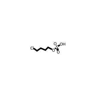 O=S(=O)(O)OCCCCCl